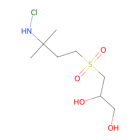 CC(C)(CCS(=O)(=O)CC(O)CO)NCl